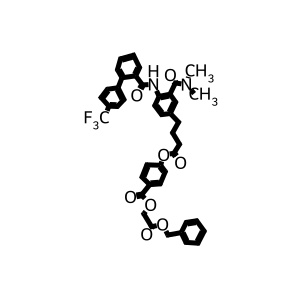 CN(C)C(=O)c1cc(CCCC(=O)Oc2ccc(C(=O)OCC(=O)OCc3ccccc3)cc2)ccc1NC(=O)c1ccccc1-c1ccc(C(F)(F)F)cc1